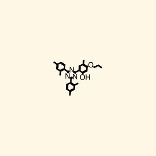 CCCOc1cc(O)c(-c2nc(-c3ccc(C)cc3C)nc(-c3ccc(C)cc3C)n2)cc1C